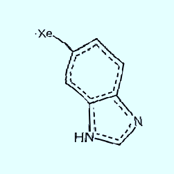 [Xe]c1ccc2nc[nH]c2c1